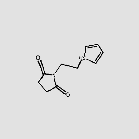 O=C1CCC(=O)N1CC[SH]1C=CC=C1